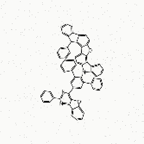 c1ccc(-c2nc(-c3cc(-c4ccccc4)c(-n4c5ccccc5c5c6oc7ccc8c(c7c6ccc54)C(c4ccccc4)c4ccccc4-8)c(-c4ccccc4)c3)c3oc4ccccc4c3n2)cc1